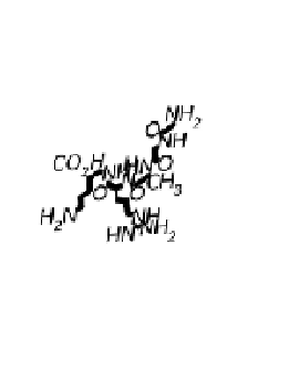 C[C@H](NC(=O)CNC(=O)CN)C(=O)N[C@@H](CCCNC(=N)N)C(=O)N[C@@H](CCCCN)C(=O)O